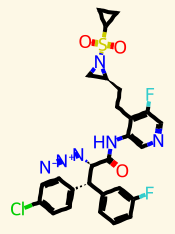 [N-]=[N+]=N[C@H](C(=O)Nc1cncc(F)c1CC[C@H]1CN1S(=O)(=O)C1CC1)[C@@H](c1ccc(Cl)cc1)c1cccc(F)c1